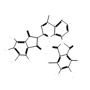 Cc1cc(C2C(=O)c3c(Br)c(Br)c(Br)c(Br)c3C2=O)nc2c(N3C(=O)c4c(Cl)c(Cl)c(Cl)c(Cl)c4C3=O)cccc12